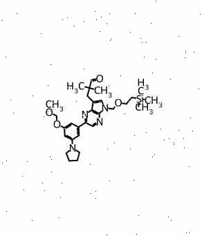 COCOc1cc(-c2cnc3c(n2)c(CC(C)(C)C=O)cn3COCC[Si](C)(C)C)cc(N2CCCC2)c1